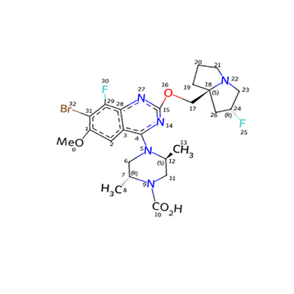 COc1cc2c(N3C[C@@H](C)N(C(=O)O)C[C@@H]3C)nc(OC[C@@]34CCCN3C[C@H](F)C4)nc2c(F)c1Br